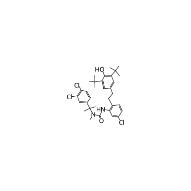 CN(C(=O)Nc1cc(Cl)ccc1CCc1cc(C(C)(C)C)c(O)c(C(C)(C)C)c1)C(C)(C)c1ccc(Cl)c(Cl)c1